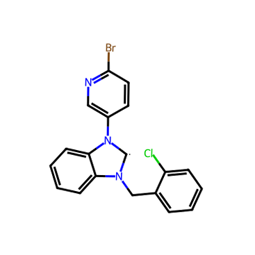 Clc1ccccc1CN1[CH]N(c2ccc(Br)nc2)c2ccccc21